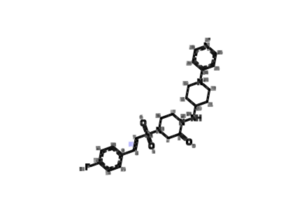 O=C1CN(S(=O)(=O)/C=C/c2ccc(F)cc2)CCN1NC1CCN(c2ccncc2)CC1